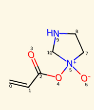 C=CC(=O)O[N+]1([O-])CCNC1